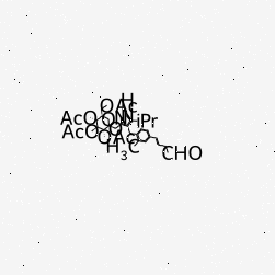 CC(=O)OC[C@H]1O[C@@H](Oc2n[nH]c(C(C)C)c2Cc2ccc(/C=C/CC=O)cc2C)[C@H](OC(C)=O)[C@@H](OC(C)=O)[C@@H]1OC(C)=O